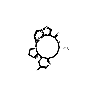 C[C@@H]1CCC2=NC=C(F)CC2(C)[C@H]2CCCN2c2ccn3ncc(c3n2)C(=O)N1